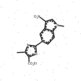 CCOC(=O)c1sc(-c2ccc3c(c2)c([N+](=O)[O-])cn3C)nc1C